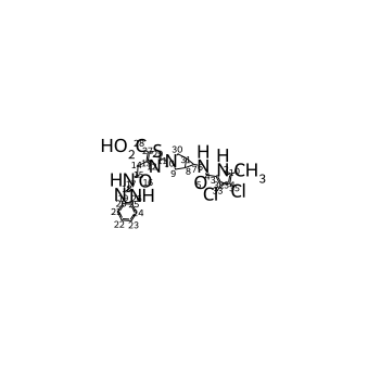 Cc1[nH]c(C(=O)NC2C3CN(c4nc(CC(=O)Nc5nc6ccccc6[nH]5)c(C(=O)O)s4)CC32)c(Cl)c1Cl